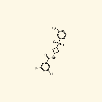 O=C(N[C@H]1C[C@H](S(=O)(=O)c2cccc(C(F)(F)F)c2)C1)c1cc(F)cc(Cl)c1